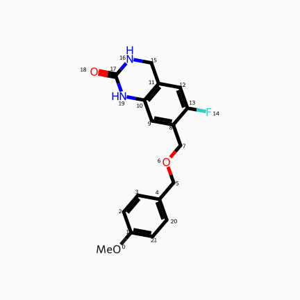 COc1ccc(COCc2cc3c(cc2F)CNC(=O)N3)cc1